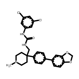 CN1CCC(CNC(=O)Nc2cc(Cl)cc(Cl)c2)(c2ccc(-c3ccc4c(c3)OCO4)cc2)CC1